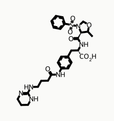 CC1OCN(S(=O)(=O)c2ccccc2)[C@@H]1C(=O)N[C@@H](Cc1ccc(NC(=O)CCCNC2=NCCCN2)cc1)C(=O)O